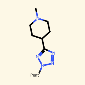 CCCC(C)n1nnc(C2CCN(C)CC2)n1